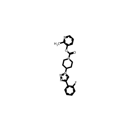 Cc1ncccc1OC(=O)N1CCC(n2cc(-c3ccccc3F)nn2)CC1